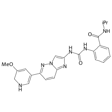 COC1=CC(c2ccc3nc(NC(=O)Nc4ccccc4C(=O)NC(C)C)cn3n2)=CNC1